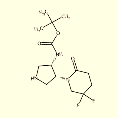 CC(C)(C)OC(=O)N[C@H]1CNC[C@H]1N1CC(F)(F)CCC1=O